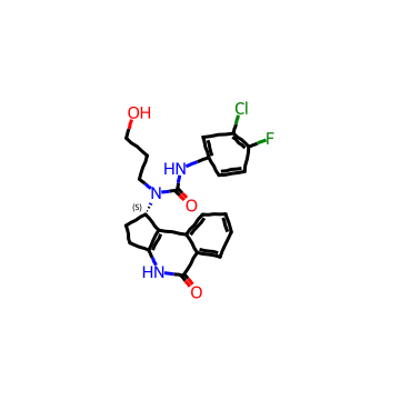 O=C(Nc1ccc(F)c(Cl)c1)N(CCCO)[C@H]1CCc2[nH]c(=O)c3ccccc3c21